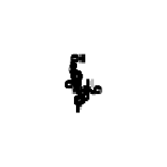 O=CNC(=O)N[C@@H](CN1Cc2ccc(OCCO)cc2C1=O)c1ccc(F)cc1